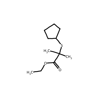 CCOC(=O)C(C)(C)SC1CCCC1